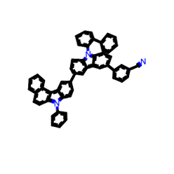 N#Cc1cccc(-c2ccc3c(c2)c2cc(-c4ccc5c(c4)c4c6ccccc6ccc4n5-c4ccccc4)ccc2n3-c2ccccc2-c2ccccc2)c1